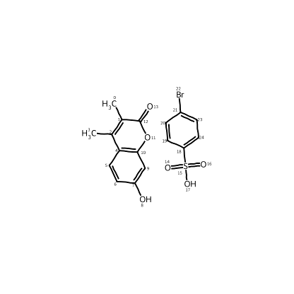 Cc1c(C)c2ccc(O)cc2oc1=O.O=S(=O)(O)c1ccc(Br)cc1